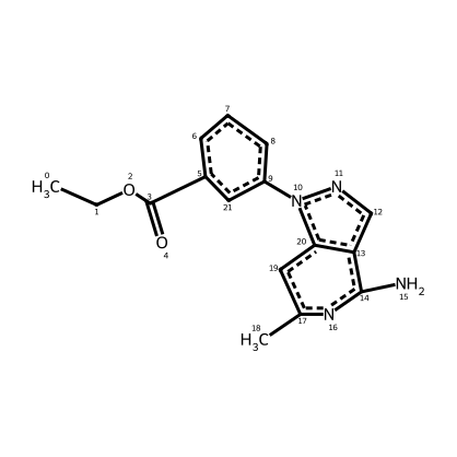 CCOC(=O)c1cccc(-n2ncc3c(N)nc(C)cc32)c1